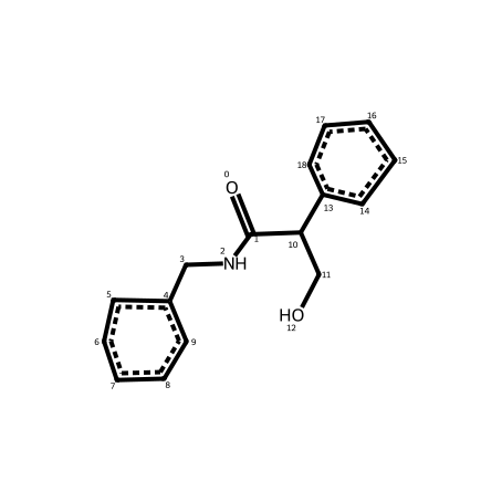 O=C(NCc1ccccc1)C(CO)c1ccccc1